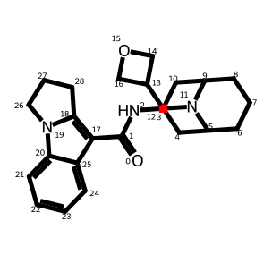 O=C(NC1CC2CCCC(C1)N2CC1COC1)c1c2n(c3ccccc13)CCC2